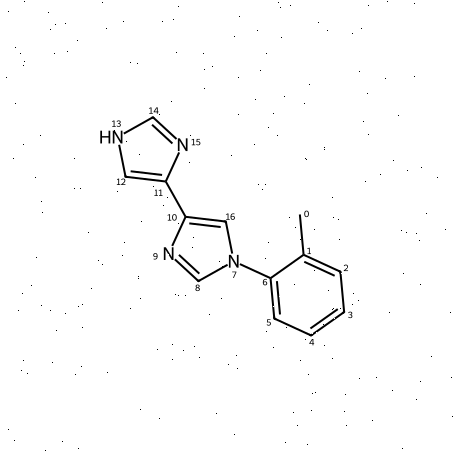 Cc1ccccc1-n1cnc(-c2c[nH]cn2)c1